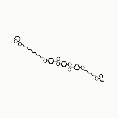 C=CC(=O)OCCCCCCOc1ccc(C(=O)Oc2ccc(OC(=O)c3ccc(OCCCCCCCCCCCOC4CCCCO4)cc3)cc2)cc1